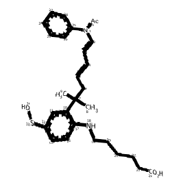 CC(=O)N(/C=C/C=C/CC(C)(C)c1cc(SO)ccc1NCCCCCC(=O)O)c1ccccc1